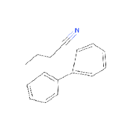 CCCC#N.c1ccc(-c2ccccc2)cc1